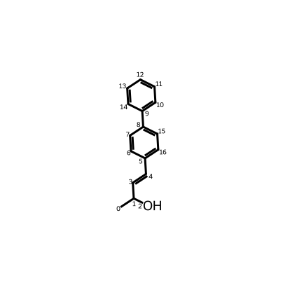 CC(O)C=Cc1ccc(-c2ccccc2)cc1